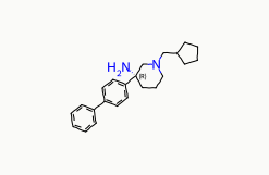 N[C@@]1(c2ccc(-c3ccccc3)cc2)CCCN(CC2CCCC2)C1